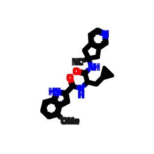 COc1cccc2[nH]c(C(=O)NC(CC3CC3)C(=O)NC3(C#N)Cc4ccncc4C3)cc12